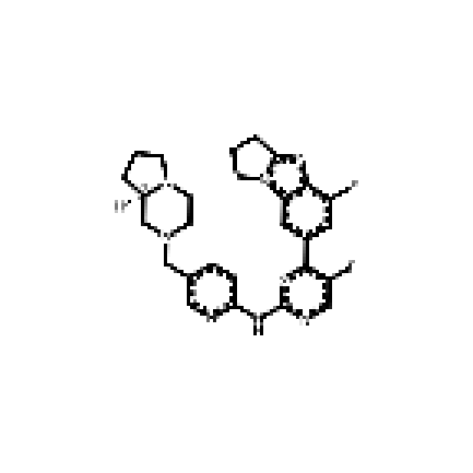 Fc1cnc(Nc2ccc(CN3CCN4CCC[C@@H]4C3)cn2)nc1-c1cc(F)c2nc3n(c2c1)CCC3